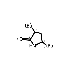 CC(C)(C)C1CC(C(C)(C)C)C(=O)N1